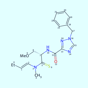 CC/C=C/N(C)C(=S)[C@H](COC)NC(=O)c1ncn(Cc2ccccc2)n1